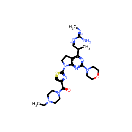 CCN1CCN(C(=O)c2csc(N3CCc4c(C(C)/C=N\C(N)=N/C)nc(N5CCOCC5)nc43)n2)CC1